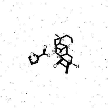 C=C1C(=O)[C@]23CC[C@H]1CC2[C@@]12CCC[C@@](C)(COC1=O)C2C[C@H]3OC(=O)c1ccco1